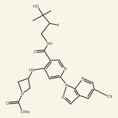 COC(=O)N1CC(Nc2cc(-n3ncc4cc(C#N)cnc43)ncc2C(=O)NCC(F)C(C)(C)O)C1